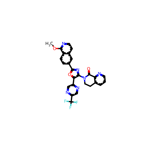 COc1nccc2cc(-c3nc(N4CCc5cccnc5C4=O)c(-c4cnc(C(F)(F)F)cn4)o3)ccc12